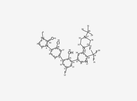 Cn1ccn(-c2ccc(-c3cc(F)cc(-c4cnc(C(F)(F)F)c(N5CCN(C(C)(C)C)CC5)c4)c3O)cc2Cl)c1=O